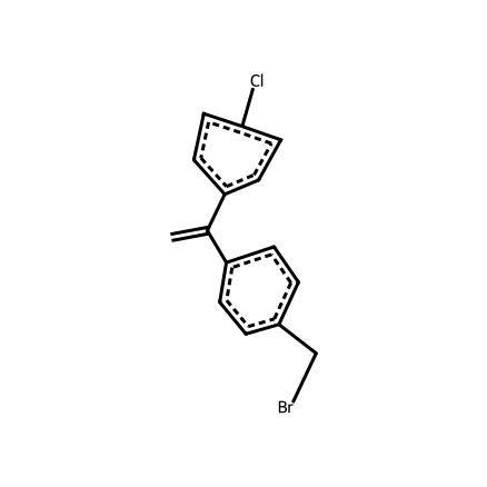 C=C(c1ccc(Cl)cc1)c1ccc(CBr)cc1